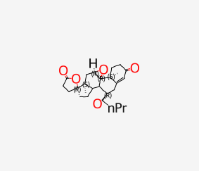 CCCC(=O)[C@@H]1CC2=CC(=O)CC[C@]2(C)[C@@]23O[C@@H]2C[C@@]2(C)C(CC[C@@]24CCC(=O)O4)C13